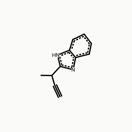 [C]#CC(C)c1nc2ccccc2[nH]1